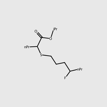 CCCC(F)CCCSC(CCC)C(=O)OC(C)C